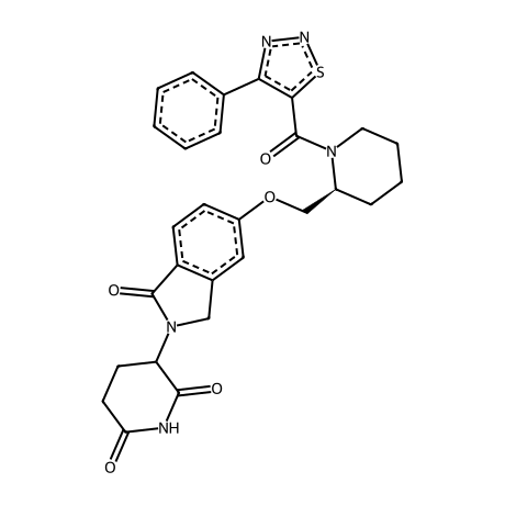 O=C1CCC(N2Cc3cc(OC[C@@H]4CCCCN4C(=O)c4snnc4-c4ccccc4)ccc3C2=O)C(=O)N1